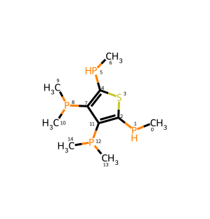 CPc1sc(PC)c(P(C)C)c1P(C)C